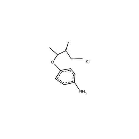 CC[S+](C)C(C)Oc1ccc(N)cc1.[Cl-]